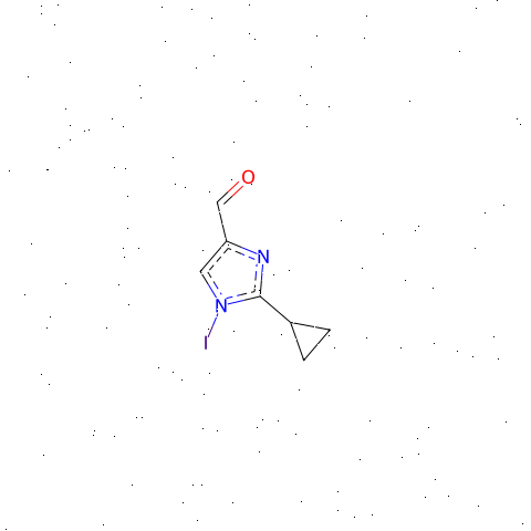 O=Cc1cn(I)c(C2CC2)n1